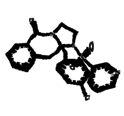 O=C1c2ccccc2CC2(c3ccc(Cl)cc3)N1CCN2S(=O)(=O)c1cccnc1